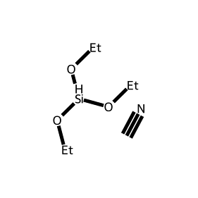 C#N.CCO[SiH](OCC)OCC